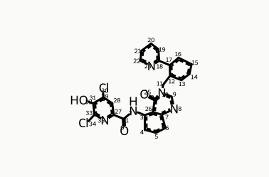 O=C(Nc1cccc2ncn(Cc3ccccc3-c3ccccn3)c(=O)c12)c1cc(Cl)c(O)c(Cl)n1